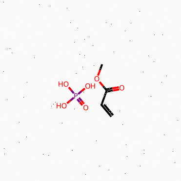 C=CC(=O)OC.O=P(O)(O)O